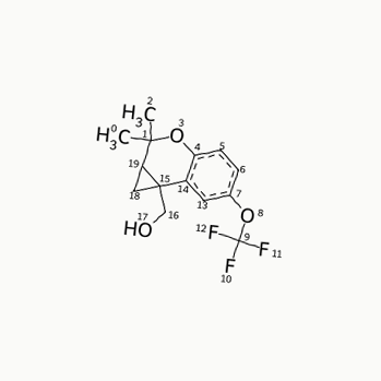 CC1(C)Oc2ccc(OC(F)(F)F)cc2C2(CO)CC12